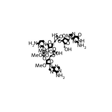 COC1C(OP(=O)(O)OC[C@H]2O[C@@H](n3cnc4c(N)ncnc43)C(OC)C2OP(=O)(O)OC)[C@@H](COP(=O)(S)OC2C(OC)[C@H](n3cnc4c(=O)[nH]c(N)nc43)O[C@@H]2CO)O[C@H]1n1ccc(N)nc1=O